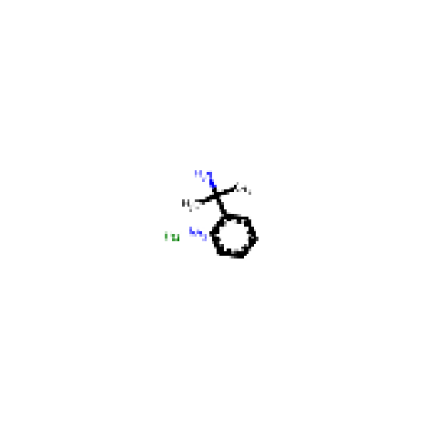 CC(C)(N)c1ccccc1.Cl.N